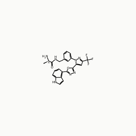 C[C@@H](N)C(=O)NCc1cccc(-n2nc(C(F)(F)F)cc2-c2nnc(-c3cccc4[nH]ccc34)o2)c1